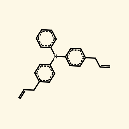 C=CCc1ccc(N(c2ccccc2)c2ccc(CC=C)cc2)cc1